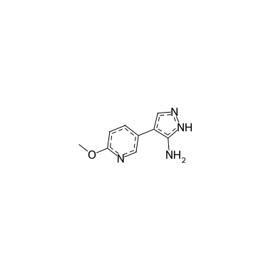 COc1ccc(-c2cn[nH]c2N)cn1